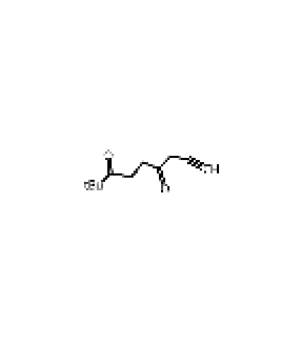 C#CCC(=O)CCC(=O)C(C)(C)C